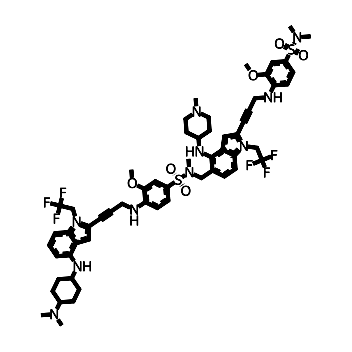 COc1cc(S(=O)(=O)N(C)C)ccc1NCC#Cc1cc2c(NC3CCN(C)CC3)c(CN(C)S(=O)(=O)c3ccc(NCC#Cc4cc5c(NC6CCC(N(C)C)CC6)cccc5n4CC(F)(F)F)c(OC)c3)ccc2n1CC(F)(F)F